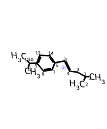 CC(C)C/C=C/c1ccc(C(C)C)cc1